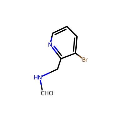 O=CNCc1ncccc1Br